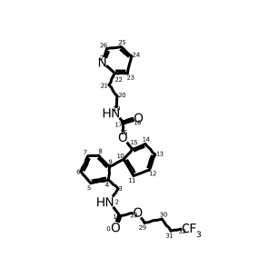 O=C(NCc1ccccc1-c1ccccc1OC(=O)NCCc1ccccn1)OCCCC(F)(F)F